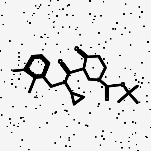 Cc1cccc(CN(C(=O)C2CN(C(=O)OC(C)(C)C)CCC2=O)C2CC2)c1C